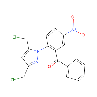 O=C(c1ccccc1)c1cc([N+](=O)[O-])ccc1-n1nc(CCl)cc1CCl